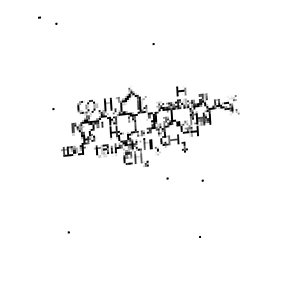 Cn1cc(-c2cccc(NCc3sc(C(C)(C)C)nc3C(=O)O)c2CO[Si](C)(C)C(C)(C)C)cc(Nc2cc(C3CC3)n[nH]2)c1=O